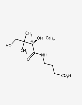 CC(C)(CO)[C@@H](O)C(=O)NCCCC(=O)O.[CaH2]